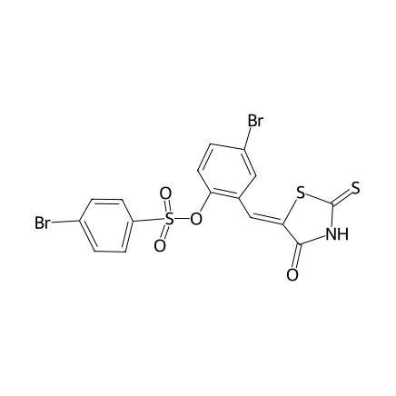 O=C1NC(=S)S/C1=C\c1cc(Br)ccc1OS(=O)(=O)c1ccc(Br)cc1